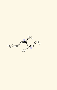 C=N/C=C(C)\C(Cl)=N/C